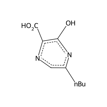 CCCCc1cnc(C(=O)O)c(O)n1